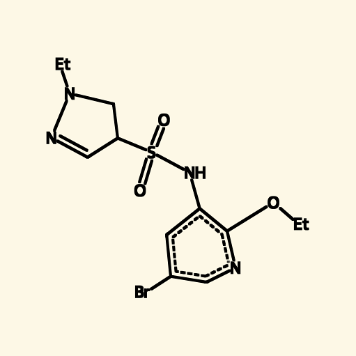 CCOc1ncc(Br)cc1NS(=O)(=O)C1C=NN(CC)C1